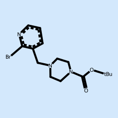 CC(C)(C)OC(=O)N1CCN(Cc2cccnc2Br)CC1